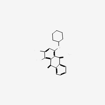 Nc1c(S(=O)(=O)O)cc(NC2CCCCC2)c2c1C(=O)c1ccccc1C2=O.[Na]